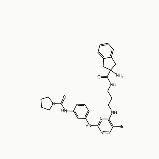 NC1(C(=O)NCCCNc2nc(Nc3cccc(NC(=O)N4CCCC4)c3)ncc2Br)Cc2ccccc2C1